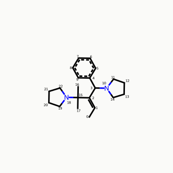 C/C=C(/C(c1ccccc1)N1CCCC1)C(C)(C)N1CCCC1